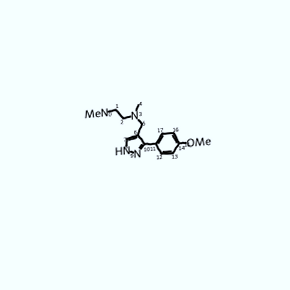 CNCCN(C)Cc1c[nH]nc1-c1ccc(OC)cc1